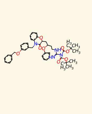 CC(C)(C)OC(=O)N(C(=N)NCCC(CC1Oc2ccccc2N(Cc2cccc(OCc3ccccc3)c2)C1=O)Oc1ccccc1)C(=O)OC(C)(C)C